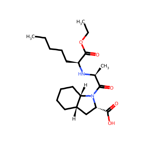 CCCCC[C@H](N[C@@H](C)C(=O)N1[C@H](C(=O)O)C[C@@H]2CCCC[C@@H]21)C(=O)OCC